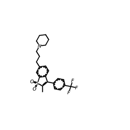 CC1=C(c2ccc(C(F)(F)F)cc2)c2ccc(CCCN3CCCCC3)cc2S1(=O)=O